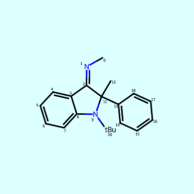 C/N=C1/c2ccccc2N(C(C)(C)C)C1(C)c1ccccc1